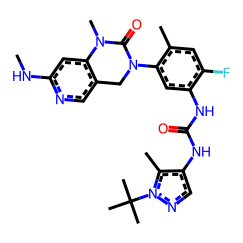 CNc1cc2c(cn1)CN(c1cc(NC(=O)Nc3cnn(C(C)(C)C)c3C)c(F)cc1C)C(=O)N2C